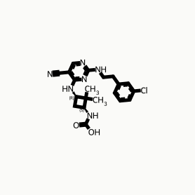 CC1(C)[C@@H](NC(=O)O)C[C@H]1Nc1nc(NCCc2cccc(Cl)c2)ncc1C#N